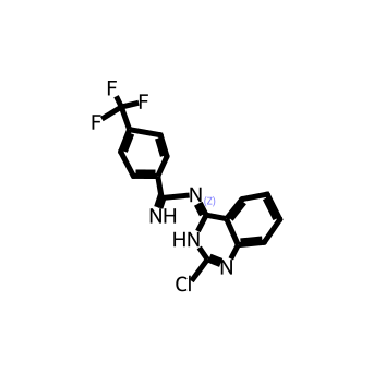 N=C(/N=c1\[nH]c(Cl)nc2ccccc12)c1ccc(C(F)(F)F)cc1